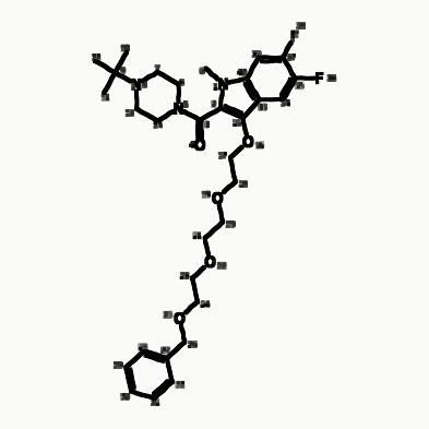 Cn1c(C(=O)N2CCN(C(C)(C)C)CC2)c(OCCOCCOCCOCc2ccccc2)c2cc(F)c(F)cc21